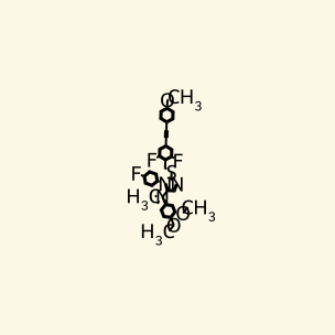 COc1ccc(C#Cc2cc(F)c(CSc3ncc(N(C)c4ccc(OC)c(OC)c4)n3-c3ccc(F)cc3)c(F)c2)cc1